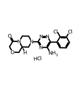 Cl.Nc1nc(N2CCN3C(=O)COC[C@H]3C2)nnc1-c1cccc(Cl)c1Cl